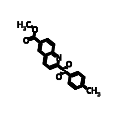 COC(=O)c1ccc2nc(S(=O)(=O)c3ccc(C)cc3)ccc2c1